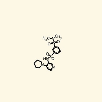 CN(C)S(=O)(=O)c1cccc(S(=O)(=O)Nc2cnccc2N2CCCCC2)c1